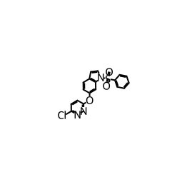 O=S(=O)(c1ccccc1)n1ccc2ccc(Oc3ccc(Cl)nn3)cc21